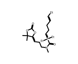 CC/C=C/CCC=P(CC)(CC)C(=O)N(C)CC/C=C1\OC(=O)OC1(C)C